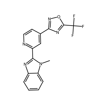 Cn1c(-c2cc(-c3noc(C(F)(F)F)n3)ccn2)nc2ccccc21